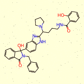 O=C(NCCCC(c1nc2cc(C3(O)c4ccccc4C(=O)N3Cc3ccccc3)ccc2[nH]1)N1CCCC1)c1ccccc1O